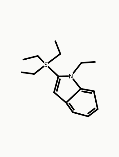 CCn1c(S(CC)(CC)CC)cc2ccccc21